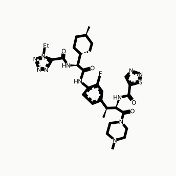 CCn1nnnc1C(=O)N[C@H](C(=O)Nc1ccc([C@H](C)[C@@H](NC(=O)c2cnns2)C(=O)N2CCN(C)CC2)cc1F)[C@H]1CC[C@H](C)CC1